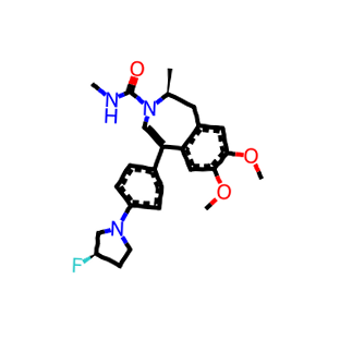 CNC(=O)N1C=C(c2ccc(N3CC[C@@H](F)C3)cc2)c2cc(OC)c(OC)cc2C[C@@H]1C